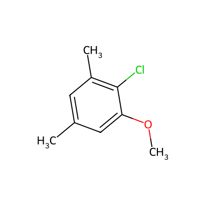 COc1cc(C)cc(C)c1Cl